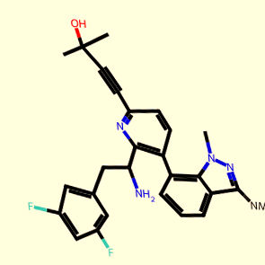 CNc1nn(C)c2c(-c3ccc(C#CC(C)(C)O)nc3C(N)Cc3cc(F)cc(F)c3)cccc12